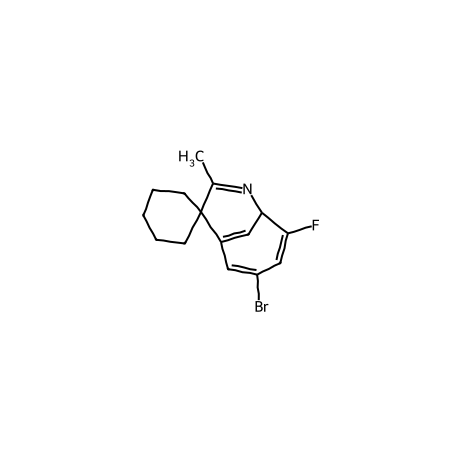 CC1=NC2C=C(C=C(Br)C=C2F)C12CCCCC2